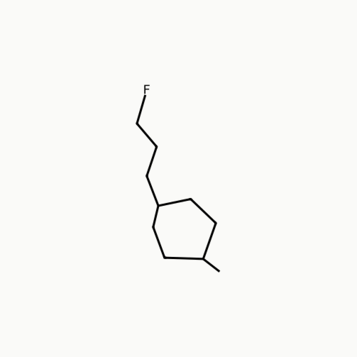 CC1CCC(CCCF)CC1